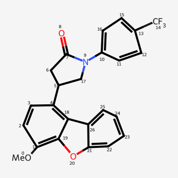 COc1ccc(C2CC(=O)N(c3ccc(C(F)(F)F)cc3)C2)c2c1oc1ccccc12